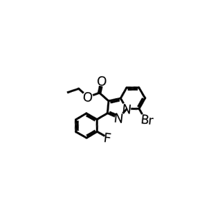 CCOC(=O)c1c(-c2ccccc2F)nn2c(Br)cccc12